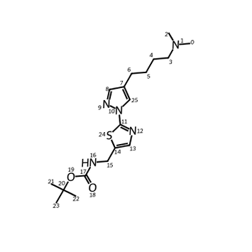 CN(C)CCCCc1cnn(-c2ncc(CNC(=O)OC(C)(C)C)s2)c1